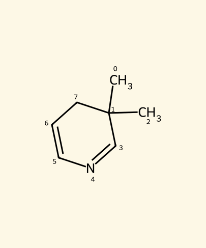 CC1(C)C=NC=CC1